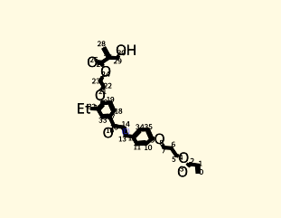 C=CC(=O)OCCCOc1ccc(/C=C/C(=O)c2ccc(OCCOC(=O)C(=C)CO)c(CC)c2)cc1